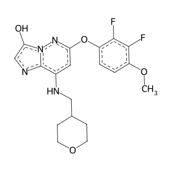 COc1ccc(Oc2cc(NCC3CCOCC3)c3ncc(O)n3n2)c(F)c1F